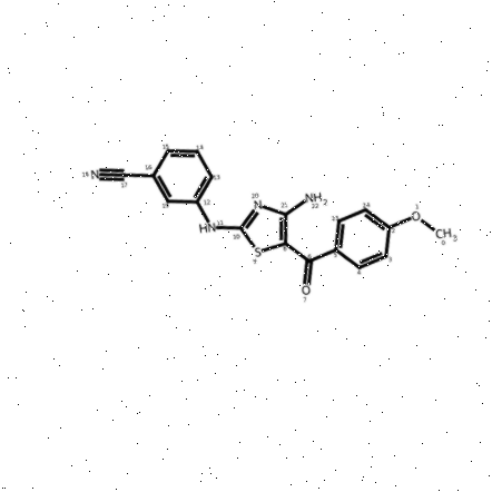 COc1ccc(C(=O)c2sc(Nc3cccc(C#N)c3)nc2N)cc1